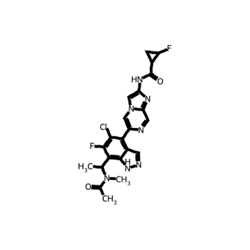 CC(=O)N(C)C(C)c1c(F)c(Cl)c(-c2cn3cc(NC(=O)C4CC4F)nc3cn2)c2cn[nH]c12